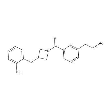 C=C(c1cccc(CCC(C)=O)c1)N1CC(Cc2ccccc2C(C)(C)C)C1